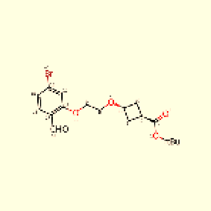 CC(C)(C)OC(=O)[C@H]1C[C@@H](OCCOc2cc(Br)ccc2C=O)C1